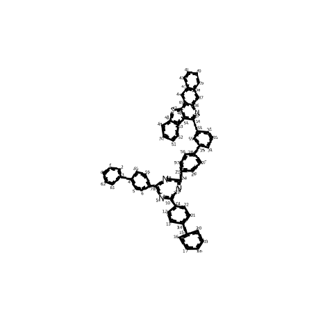 c1ccc(-c2ccc(-c3nc(-c4ccc(-c5ccccc5)cc4)nc(-c4ccc(-c5cccc(-c6nc7cc8ccccc8cc7c7sc8ccccc8c67)c5)cc4)n3)cc2)cc1